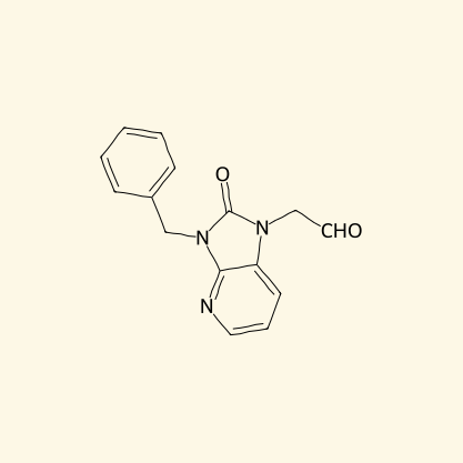 O=CCn1c(=O)n(Cc2ccccc2)c2ncccc21